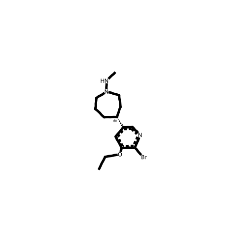 CCOc1cc([C@@H]2CCCN(NC)CC2)cnc1Br